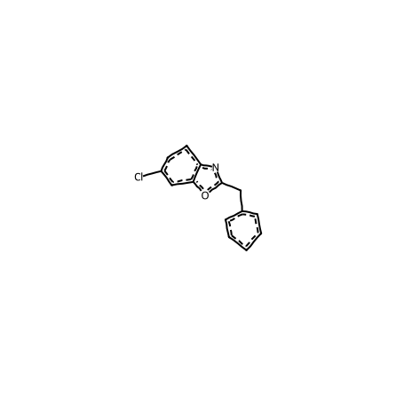 Clc1ccc2nc(Cc3ccccc3)oc2c1